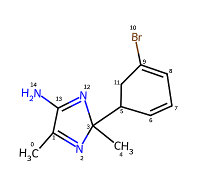 CC1=NC(C)(C2C=CC=C(Br)C2)N=C1N